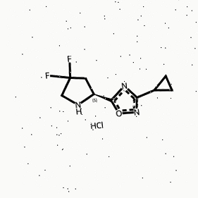 Cl.FC1(F)CN[C@H](c2nc(C3CC3)no2)C1